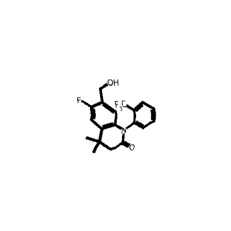 CC1(C)CC(=O)N(c2ccccc2C(F)(F)F)c2cc(CO)c(F)cc21